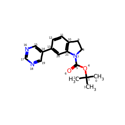 CC(C)(C)OC(=O)N1CCc2ccc(-c3cncnc3)cc21